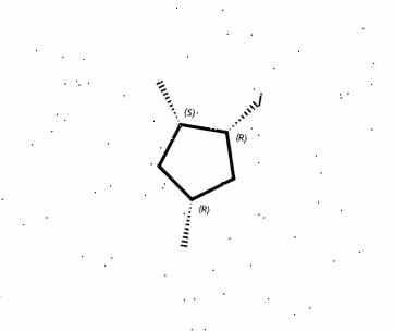 C[C@H]1C[C@@H](I)[C@@H](C)C1